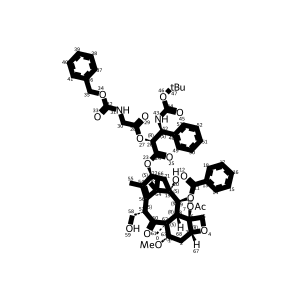 CO[C@H]1C[C@H]2OC[C@@]2(OC(C)=O)[C@H]2[C@H](OC(=O)c3ccccc3)[C@]3(O)C[C@H](OC(=O)[C@H](OC(=O)CNC(=O)OCc4ccccc4)[C@@H](NC(=O)OC(C)(C)C)c4ccccc4)C(C)=C([C@@H](CO)C(=O)[C@]12C)C3(C)C